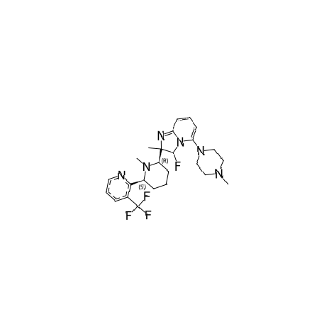 CN1CCN(C2=CC=CC3=NC(C)([C@H]4CCC[C@@H](c5ncccc5C(F)(F)F)N4C)C(F)N23)CC1